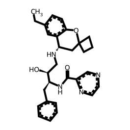 CCc1ccc2c(c1)[C@@H](NC[C@H](O)[C@H](Cc1ccccc1)NC(=O)c1cnccn1)CC1(CCC1)O2